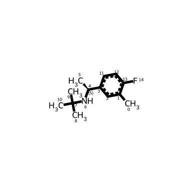 Cc1cc([C@H](C)NC(C)(C)C)ccc1F